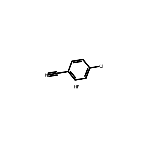 F.N#Cc1ccc(Cl)cc1